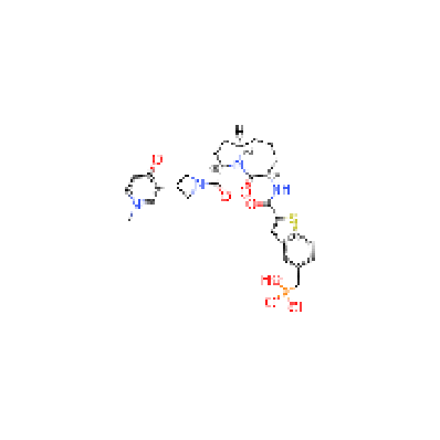 Cn1ccc(=O)c(C2CN(C(=O)[C@@H]3CC[C@@H]4CCC[C@H](NC(=O)c5cc6cc(CP(=O)(O)O)ccc6s5)C(=O)N43)C2)c1